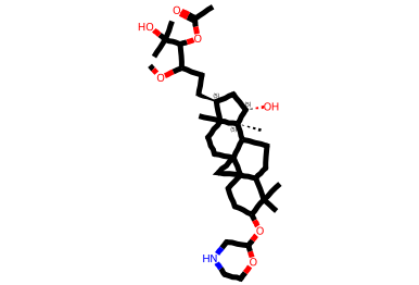 COC(CC[C@H]1C[C@H](O)[C@@]2(C)C3CCC4C(C)(C)C(OC5CNCCO5)CCC45CC35CCC12C)C(OC(C)=O)C(C)(C)O